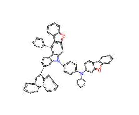 c1ccc(-c2c3c(cc4c2c2ccc(-c5cc6ccccc6c6ccccc56)cc2n4-c2ccc(N(c4ccccc4)c4ccc5c(c4)oc4ccccc45)cc2)oc2ccccc23)cc1